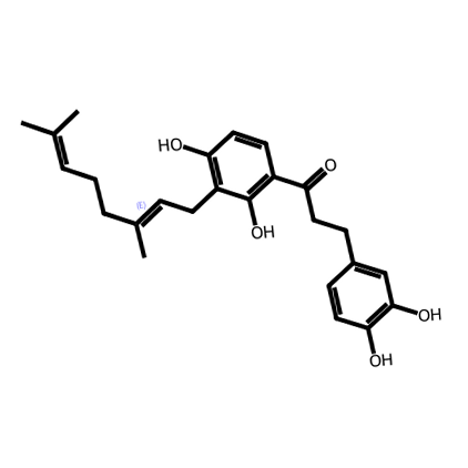 CC(C)=CCC/C(C)=C/Cc1c(O)ccc(C(=O)CCc2ccc(O)c(O)c2)c1O